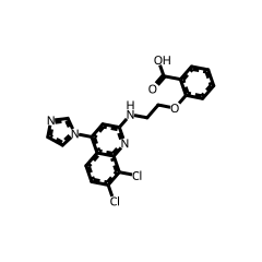 O=C(O)c1ccccc1OCCNc1cc(-n2ccnc2)c2ccc(Cl)c(Cl)c2n1